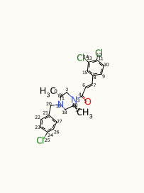 C[C@@H]1CN(C(=O)C=Cc2ccc(Cl)c(Cl)c2)[C@@H](C)CN1Cc1ccc(Cl)cc1